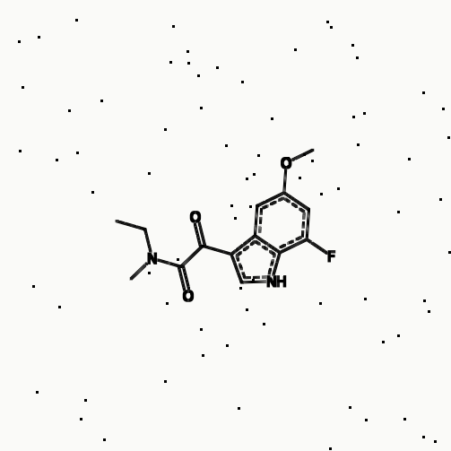 CCN(C)C(=O)C(=O)c1c[nH]c2c(F)cc(OC)cc12